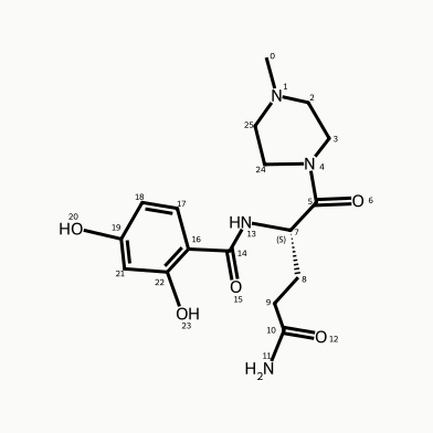 CN1CCN(C(=O)[C@H](CCC(N)=O)NC(=O)c2ccc(O)cc2O)CC1